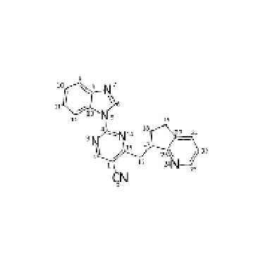 N#Cc1cnc(-n2cnc3ccccc32)nc1CC1CCc2cccnc21